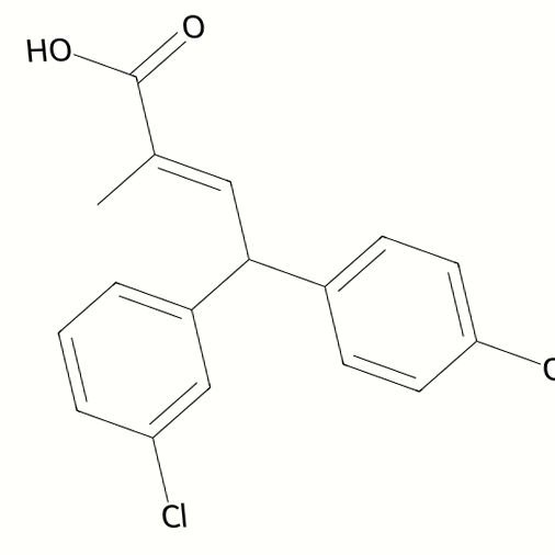 CC(=CC(c1ccc(Cl)cc1)c1cccc(Cl)c1)C(=O)O